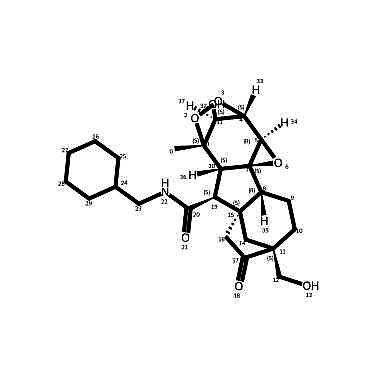 C[C@]12OO[C@H]([C@H]3O[C@]34[C@@H]3CC[C@@]5(CO)C[C@@]3(CC5=O)[C@@H](C(=O)NCC3CCCCC3)[C@H]14)[C@@H]2O